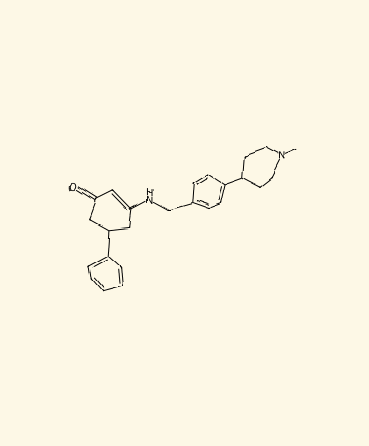 CN1CCC(c2ccc(CNC3=CC(=O)CC(c4ccccc4)C3)cc2)CC1